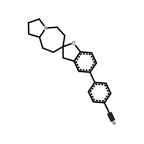 N#Cc1ccc(-c2ccc3c(c2)CC2(CCC4CCCN4CC2)O3)cc1